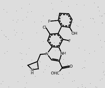 O=CC(=O)C1=CN(CC2CNC2)c2cc(Cl)c(-c3c(O)cccc3F)c(F)c2N1